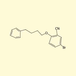 N#Cc1cc(Br)ccc1OCCCCc1ccccc1